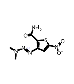 CN(C)/N=N/c1cc([N+](=O)[O-])sc1C(N)=O